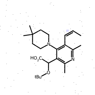 C/C=C\c1c(C)nc(C)c(C(OC(C)(C)C)C(=O)O)c1N1CCC(C)(C)CC1